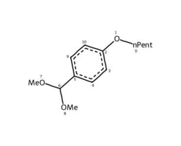 CCCCCOc1ccc(C(OC)OC)cc1